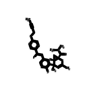 CC#CCOc1cnc(/C(F)=C/c2cnc(F)c([C@@]3(C)N=C(N)S[C@@]4(C(=O)N(C)C)C[C@H]43)c2)cn1